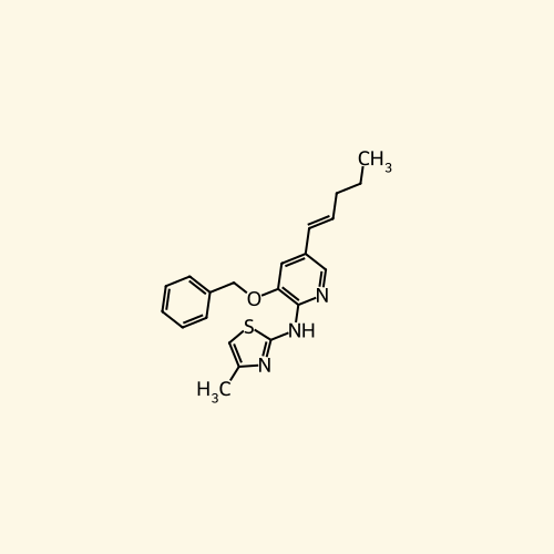 CCCC=Cc1cnc(Nc2nc(C)cs2)c(OCc2ccccc2)c1